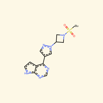 CCC(C)S(=O)(=O)N1CC(n2cc(-c3ncnc4[nH]ccc34)cn2)C1